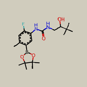 Cc1cc(F)c(NC(=O)NCC(O)C(C)(C)C)cc1B1OC(C)(C)C(C)(C)O1